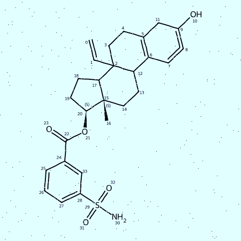 C=CC12CCC3=C(C=C=C(O)C3)C1CC[C@@]1(C)C2CC[C@@H]1OC(=O)c1cccc(S(N)(=O)=O)c1